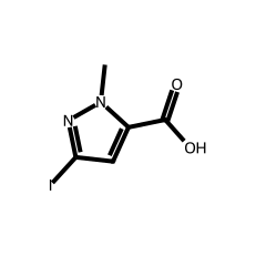 Cn1nc(I)cc1C(=O)O